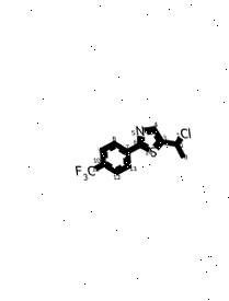 CC(Cl)c1cnc(-c2ccc(C(F)(F)F)cc2)s1